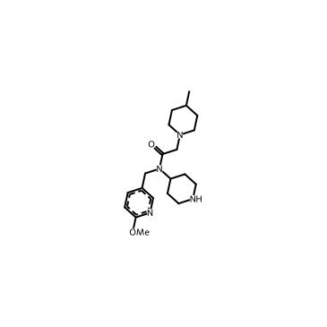 COc1ccc(CN(C(=O)CN2CCC(C)CC2)C2CCNCC2)cn1